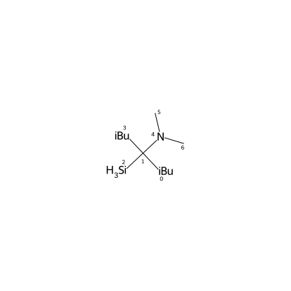 CCC(C)C([SiH3])(C(C)CC)N(C)C